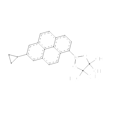 CC1(C)OB(c2ccc3ccc4cc(C5CC5)cc5ccc2c3c45)OC1(C)C